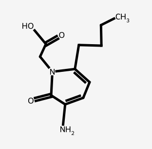 CCCCc1ccc(N)c(=O)n1CC(=O)O